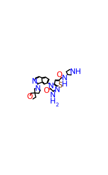 Nc1nc2sc(C(=O)N[C@@H]3CCNC3)cc2n(-c2ccc3ccnc(N4CCC5(CCOC5)C4)c3c2)c1=O